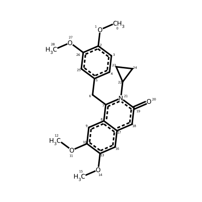 COc1ccc(Cc2c3cc(OC)c(OC)cc3cc(=O)n2C2CC2)cc1OC